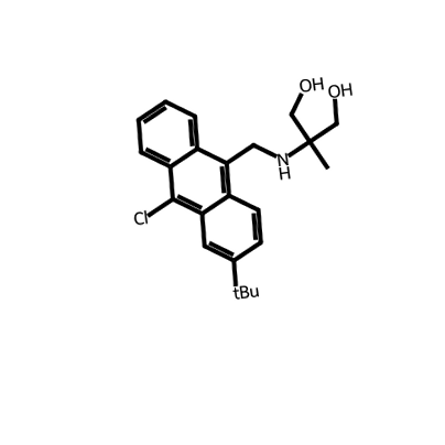 CC(CO)(CO)NCc1c2ccccc2c(Cl)c2cc(C(C)(C)C)ccc12